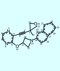 CC1(C#Cc2nccnc2OC2CN(c3ccc4ccccc4n3)C2)COC1